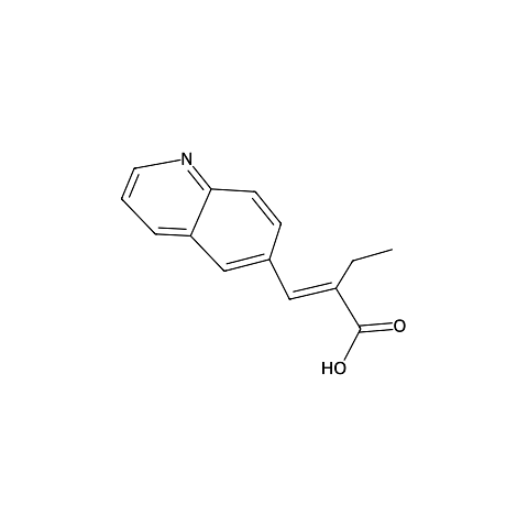 CC/C(=C\c1ccc2ncccc2c1)C(=O)O